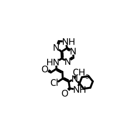 CN1/C(=C(Cl)\C=C(/C=O)Nc2ncnc3[nH]cnc23)C(=O)NC12CCCCC2